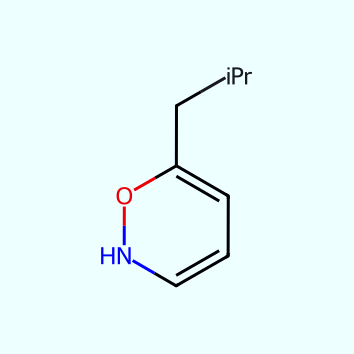 CC(C)CC1=CC=CNO1